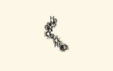 O=C1CCC(N2Cc3c(OCc4ccc(CNC56CC7CC(CC(C7)C5)C6)cc4)cccc3C2=O)C(=O)N1